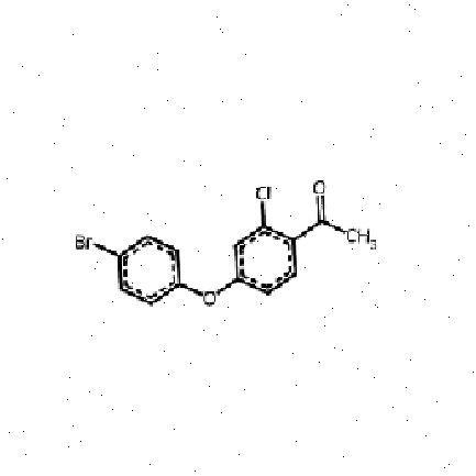 CC(=O)c1ccc(Oc2ccc(Br)cc2)cc1Cl